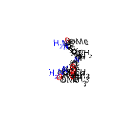 COC(=O)c1cc(B2OC(C)(C)C(C)(CC3CC(N4C[C@H]5[C@@H](C)[C@@]5(c5ccc(-c6cnc(N)c(C(=O)OC)c6)cc5)C4)CCO3)O2)cnc1N